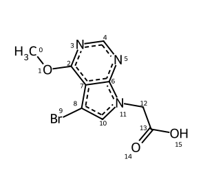 COc1ncnc2c1c(Br)cn2CC(=O)O